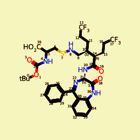 CC(C)(C)OC(=O)NC(CSNC[C@@H](CCC(F)(F)F)[C@@H](CCC(F)(F)F)C(=O)N[C@H]1N=C(c2ccccc2)c2ccccc2NC1=O)C(=O)O